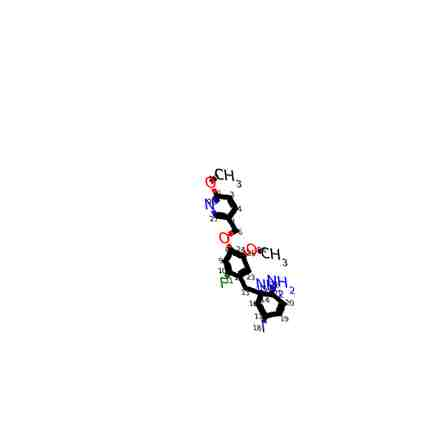 COc1ccc(COc2cc(F)c(CC3(N)C=C(I)C=CC3N)cc2OC)cn1